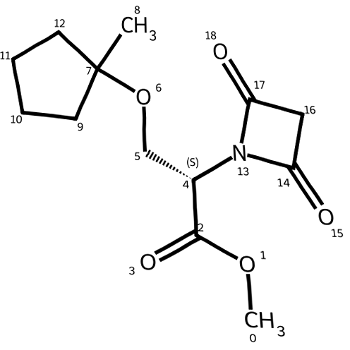 COC(=O)[C@H](COC1(C)CCCC1)N1C(=O)CC1=O